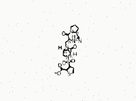 COC(=O)c1sccc1S(=O)(=O)N1C[C@@H]2C[C@H]1C(=O)N2C[C@H](N)C(=O)N1CCC[C@H]1C#N